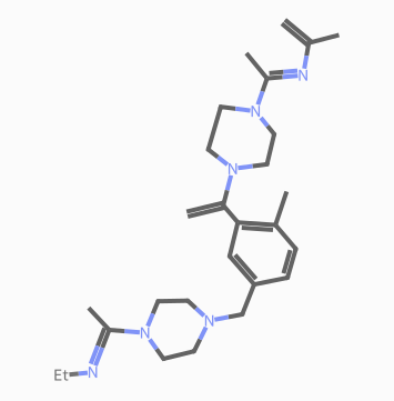 C=C(C)/N=C(\C)N1CCN(C(=C)c2cc(CN3CCN(/C(C)=N/CC)CC3)ccc2C)CC1